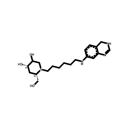 OC[C@@H]1C[C@H](O)C(O)CN1CCCCCCNc1ccc2c(c1)N=CNC2